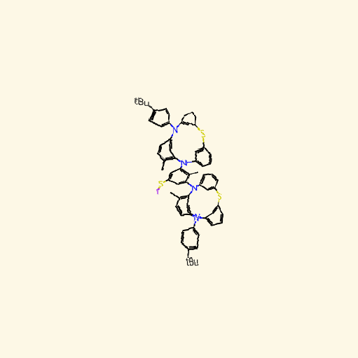 Cc1ccc2cc1N(c1cc(SI)cc(N3c4cccc(c4)Sc4cccc(c4)N(c4ccc(C(C)(C)C)cc4)c4ccc(C)c3c4)c1C)c1cccc(c1)SC1C=C(CCC1)N2c1ccc(C(C)(C)C)cc1